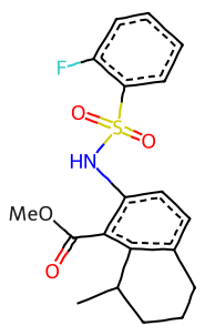 COC(=O)c1c(NS(=O)(=O)c2ccccc2F)ccc2c1C(C)CCC2